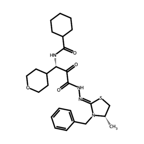 C[C@H]1CSC(=NNC(=O)C(=O)[C@@H](NC(=O)C2CCCCC2)C2CCOCC2)N1Cc1ccccc1